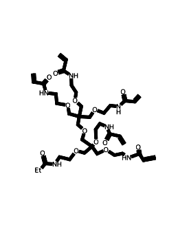 C=CC(=O)NCCOCC(COCCNC(=O)C=C)(COCCNC(=O)C=C)COCC(COCCNC(=O)C=C)(COCCNC(=O)CC)OCCNC(=O)C=C